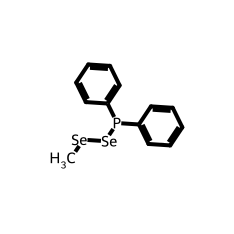 C[Se][Se]P(c1ccccc1)c1ccccc1